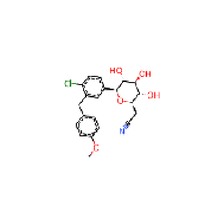 COc1ccc(Cc2cc([C@@H]3O[C@H](CC#N)[C@@H](O)[C@H](O)[C@H]3O)ccc2Cl)cc1